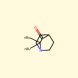 CCCCC1(CCCC)C(=O)C2CCN1CC2